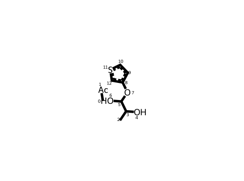 CC(C)=O.CC(O)C(O)Oc1ccsc1